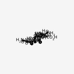 CSCC[C@H](NC(=O)[C@H](CC(C)C)NC(=O)[C@@H]1CCCN1C(=O)[C@@H]1CCCN1C(=O)CNC(=O)[C@@H](N)CCC(N)=O)C(=O)N[C@@H](Cc1c[nH]c2ccccc12)C(=O)N[C@H](C(=O)N[C@@H](CCC(N)=O)C(=O)N[C@H](C(=O)O)C(C)C)[C@@H](C)O